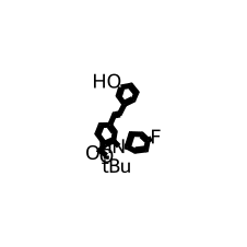 CC(C)(C)OC(=O)c1ccc(C=Cc2cccc(O)c2)cc1Nc1ccc(F)cc1